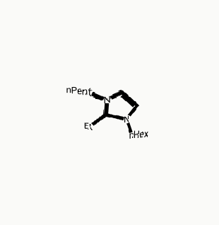 CCCCCCN1C=CN(CCCCC)C1CC